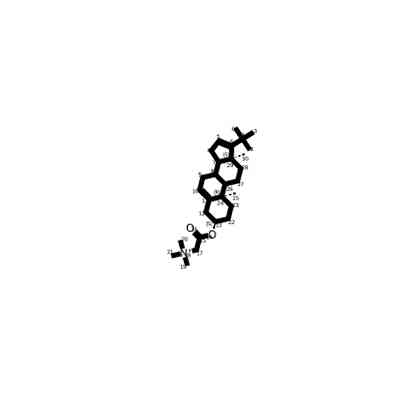 CC(C)(C)C1=CCC2C3CC=C4C[C@@H](OC(=O)C[N+](C)(C)C)CC[C@]4(C)C3CC[C@]12C